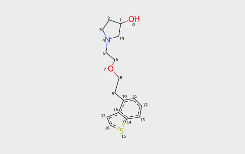 OC1CCN(CCOCCc2cccc3sccc23)C1